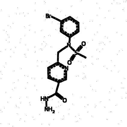 CS(=O)(=O)N(Cc1ccc(C(=O)NN)cn1)c1cccc(Br)c1